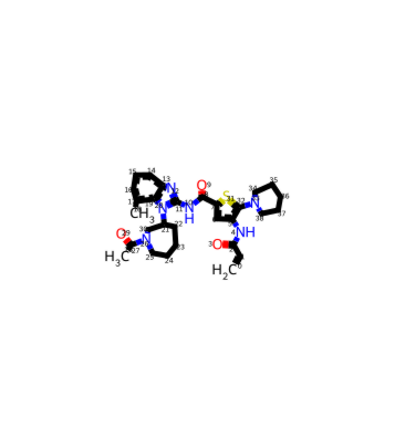 C=CC(=O)Nc1cc(C(=O)Nc2nc3cccc(C)c3n2C2CCCCN(C(C)=O)C2)sc1N1CCCCC1